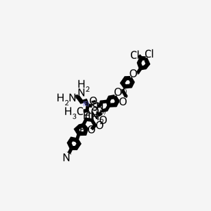 C=C(C)/C(=C\C=C(N)N)S(=O)(=O)N1Cc2cc3c(cc2C[C@H]1C(=O)NC(Cc1ccc(-c2ccc(C#N)cc2)cc1)C(=O)O)OC[C@H](c1ccc(OCc2ccc(Cl)c(Cl)c2)cc1)O3